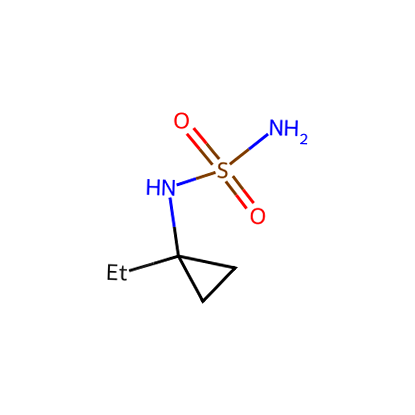 CCC1(NS(N)(=O)=O)CC1